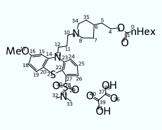 CCCCCCC(=O)OCCC1CCN(CCCN2c3cc(OC)ccc3Sc3c2cccc3S(=O)(=O)N(C)C)CC1.O=C(O)C(=O)O